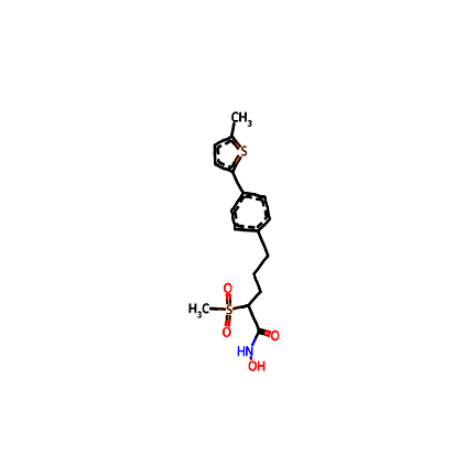 Cc1ccc(-c2ccc(CCCC(C(=O)NO)S(C)(=O)=O)cc2)s1